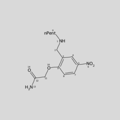 CCCCCNCc1cc([N+](=O)[O-])ccc1OCC(N)=O